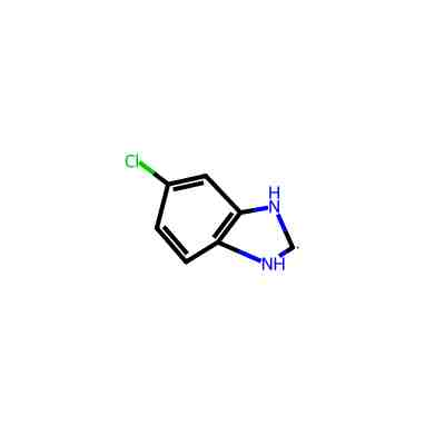 Clc1ccc2c(c1)N[CH]N2